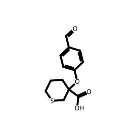 O=Cc1ccc(OC2(C(=O)O)CCCSC2)cc1